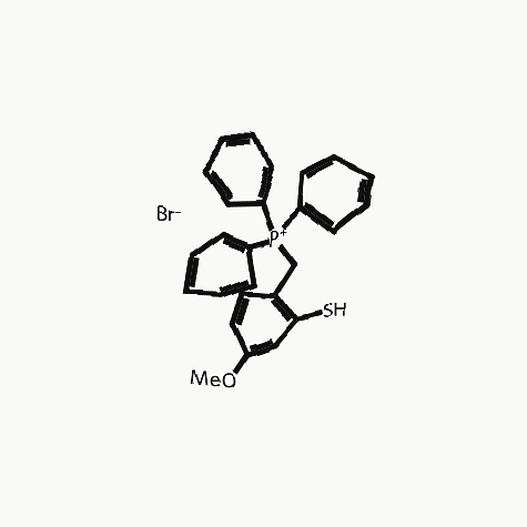 COc1ccc(C[P+](c2ccccc2)(c2ccccc2)c2ccccc2)c(S)c1.[Br-]